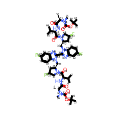 CC(C)[C@@H](NC(=O)[C@@H](C)N(C)C(=O)OC(C)(C)C)C(=O)N1CC(F)C[C@H]1Cn1c(-c2nc3cc(F)ccc3n2C[C@@H]2CC(F)CN2C(=O)[C@H](NC(=O)[C@@H](C)N(C)C(=O)OC(C)(C)C)C(C)C)nc2cc(F)ccc21